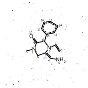 C=CN1/C(=C\N)CN(C)C(=O)C1c1ccccc1